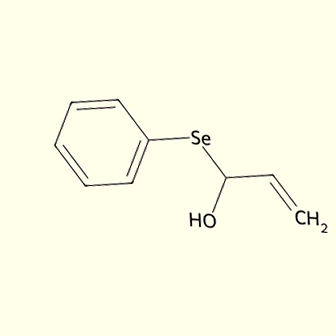 C=CC(O)[Se]c1ccccc1